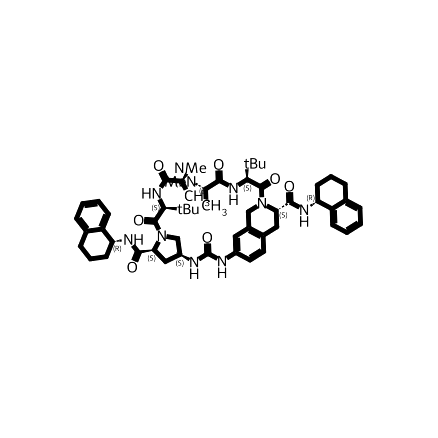 CN[C@@H](C)C(=O)N[C@H](C(=O)N1Cc2cc(NC(=O)N[C@H]3C[C@@H](C(=O)N[C@@H]4CCCc5ccccc54)N(C(=O)[C@@H](NC(=O)[C@H](C)NC)C(C)(C)C)C3)ccc2C[C@H]1C(=O)N[C@@H]1CCCc2ccccc21)C(C)(C)C